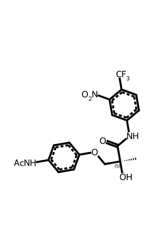 CC(=O)Nc1ccc(OC[C@](C)(O)C(=O)Nc2ccc(C(F)(F)F)c([N+](=O)[O-])c2)cc1